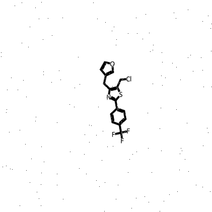 FC(F)(F)c1ccc(-c2nc(Cc3ccoc3)c(CCl)s2)cc1